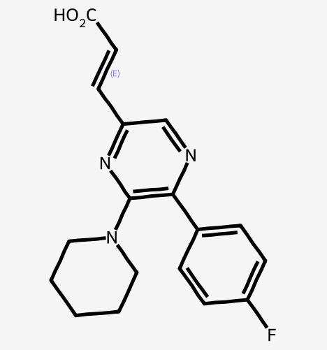 O=C(O)/C=C/c1cnc(-c2ccc(F)cc2)c(N2CCCCC2)n1